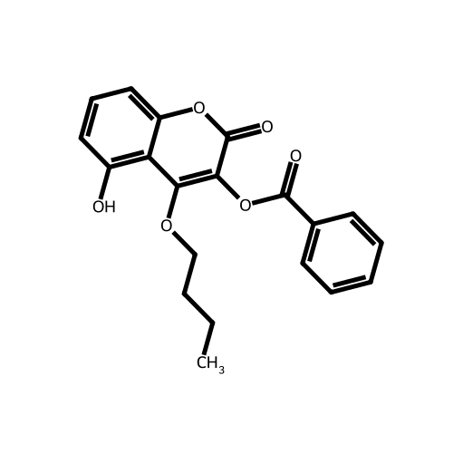 CCCCOc1c(OC(=O)c2ccccc2)c(=O)oc2cccc(O)c12